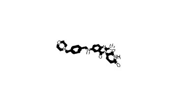 Cc1nc2ccc(NCc3ccc(CN4CCOCC4)cc3)cc2c(=O)n1C1CCC(=O)NC1=O